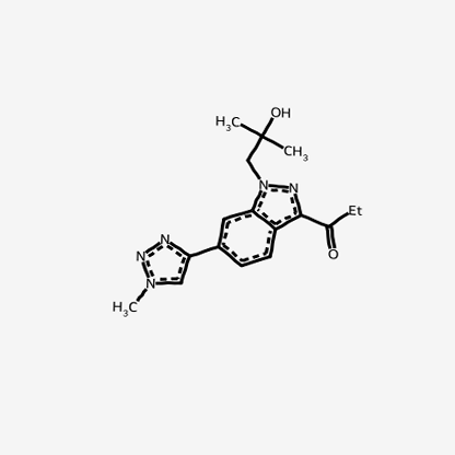 CCC(=O)c1nn(CC(C)(C)O)c2cc(-c3cn(C)nn3)ccc12